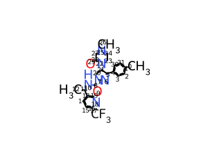 Cc1ccc(C2=NN(C(=O)N[C@H](C)c3ccc(C(F)(F)F)nc3)C[C@@H]2N2CCN(C)CC2=O)cc1